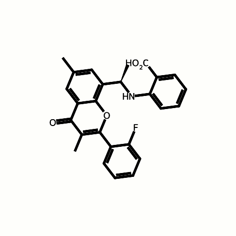 Cc1cc([C@@H](C)Nc2ccccc2C(=O)O)c2oc(-c3ccccc3F)c(C)c(=O)c2c1